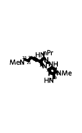 CCCNc1nc(Nc2ccc(C=N)c(NC)c2)ncc1C#CCCCNC